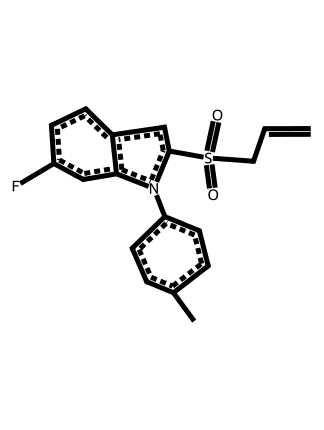 C=CCS(=O)(=O)c1cc2ccc(F)cc2n1-c1ccc(C)cc1